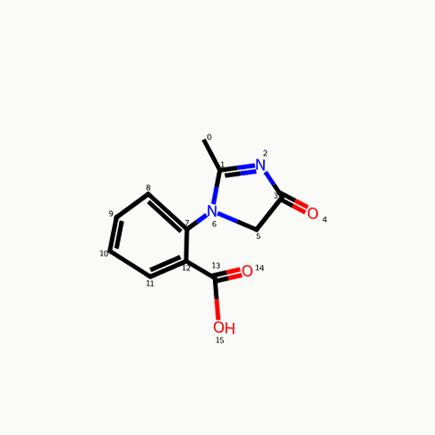 CC1=NC(=O)CN1c1ccccc1C(=O)O